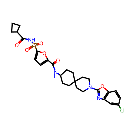 O=C(NC1CCC2(CC1)CCN(c1nc3cc(Cl)ccc3o1)CC2)c1ccc(S(=O)(=O)NC(=O)C2CCC2)o1